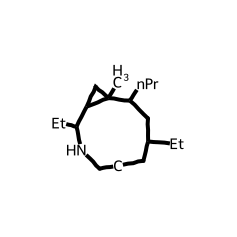 CCCC1CC(CC)CCCNC(CC)C2CC12C